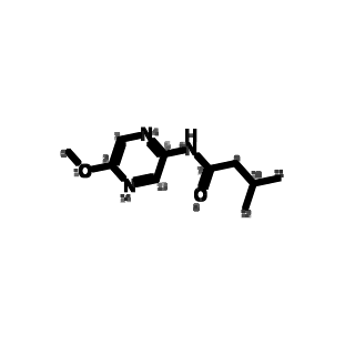 COc1cnc(NC(=O)CC(C)C)cn1